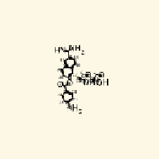 CS(=O)(=O)O.CS(=O)(=O)O.N=C(N)c1ccc2cc(OC(=O)c3ccc(N)cc3)ccc2c1